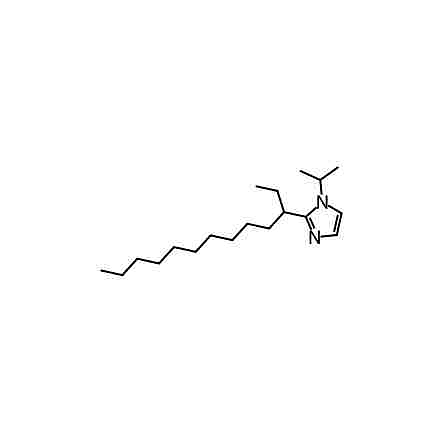 CCCCCCCCCCC(CC)c1nccn1C(C)C